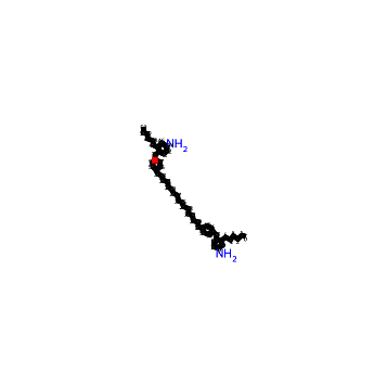 CCCCCCc1cc(N)ccc1Cc1ccc(CCCCCCCCCCCCCCCCCc2ccc(Cc3ccc(N)cc3CCCCCC)cc2)cc1